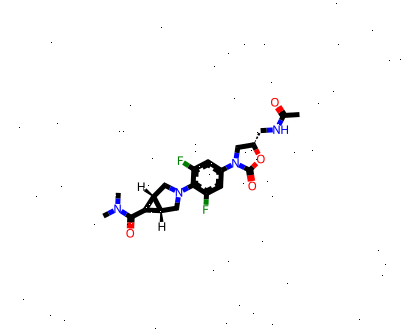 CC(=O)NC[C@H]1CN(c2cc(F)c(N3C[C@@H]4C(C(=O)N(C)C)[C@@H]4C3)c(F)c2)C(=O)O1